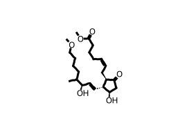 COCCCCC(C)[C@H](O)/C=C/[C@H]1[C@H](O)CC(=O)[C@@H]1C/C=C\CCCC(=O)OC